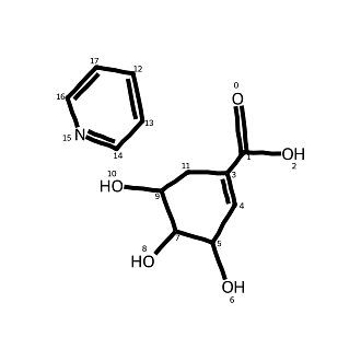 O=C(O)C1=CC(O)C(O)C(O)C1.c1ccncc1